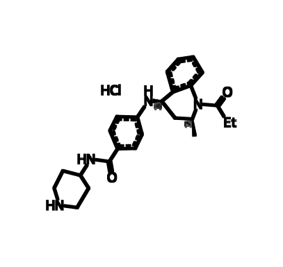 CCC(=O)N1c2ccccc2[C@H](Nc2ccc(C(=O)NC3CCNCC3)cc2)C[C@@H]1C.Cl